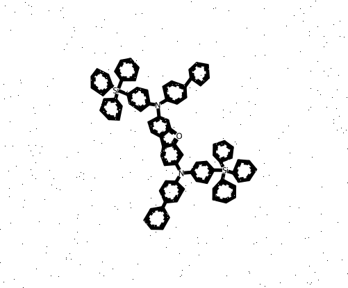 c1ccc(-c2ccc(N(c3ccc([Si](c4ccccc4)(c4ccccc4)c4ccccc4)cc3)c3ccc4c(c3)oc3cc(N(c5ccc(-c6ccccc6)cc5)c5ccc([Si](c6ccccc6)(c6ccccc6)c6ccccc6)cc5)ccc34)cc2)cc1